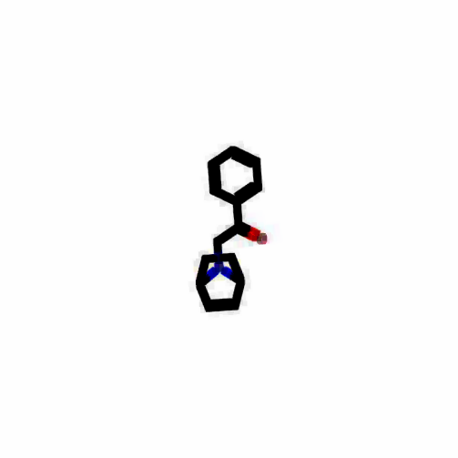 O=C(CN1C2C=CC1CC2)c1ccccc1